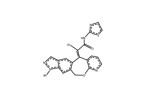 CC/C(C(=O)Nc1nccs1)=C1\c2cc3cnn(C(C)C)c3cc2COc2ncccc21